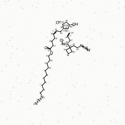 [N-]=[N+]=NCCCCCCCCCCCOC(=O)CCC/C=C\C[C@@H]1[C@@H](/C=C/C[C@H](N=O)C2(CCN=[N+]=[N-])CCC2)[C@H](O)C[C@H]1Cl